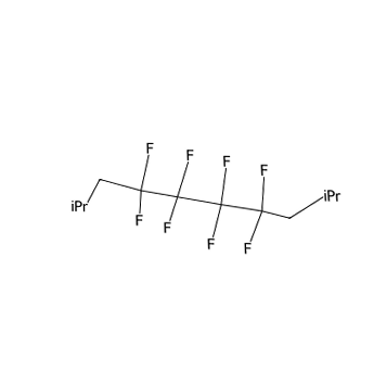 CC(C)CC(F)(F)C(F)(F)C(F)(F)C(F)(F)CC(C)C